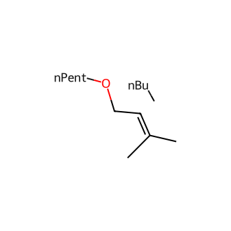 CCCCC.CCCCCOCC=C(C)C